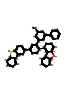 N#Cc1cc(-c2ccccc2)cc(-c2cc(-c3ccc4sc5ccccc5c4c3)ccc2-c2cccc3oc4ccccc4c23)c1